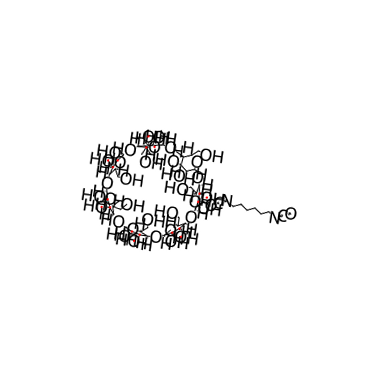 O=C=NCCCCCCN=C=O.OC[C@H]1O[C@@H]2O[C@H]3[C@H](O)[C@@H](O)[C@@H](O[C@H]4[C@H](O)[C@@H](O)[C@@H](O[C@H]5[C@H](O)[C@@H](O)[C@@H](O[C@H]6[C@H](O)[C@@H](O)[C@@H](O[C@H]7[C@H](O)[C@@H](O)[C@@H](O[C@H]8[C@H](O)[C@@H](O)[C@@H](O[C@H]1[C@H](O)[C@H]2O)O[C@@H]8CO)O[C@@H]7CO)O[C@@H]6CO)O[C@@H]5CO)O[C@@H]4CO)O[C@@H]3CO